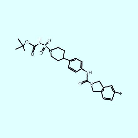 CC(C)(C)OC(=O)NS(=O)(=O)N1CCC(c2ccc(NC(=O)N3Cc4ccc(F)cc4C3)cc2)CC1